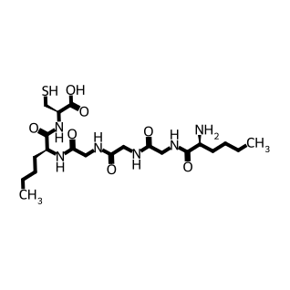 CCCC[C@H](NC(=O)CNC(=O)CNC(=O)CNC(=O)[C@@H](N)CCCC)C(=O)N[C@@H](CS)C(=O)O